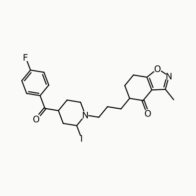 Cc1noc2c1C(=O)C(CCCN1CCC(C(=O)c3ccc(F)cc3)CC1I)CC2